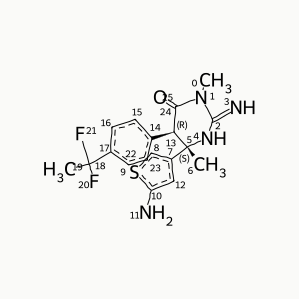 CN1C(=N)N[C@](C)(c2csc(N)c2)[C@@H](c2ccc(C(C)(F)F)cc2)C1=O